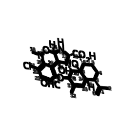 C=C(C)[C@@H]1CC[C@@H](C)[C@]2(O)C([C@H]3[C@@H](C(=O)O)N[C@@H]4ON(C)c5c(Cl)cccc5[C@@]43O)C(OC=O)C(C)=C[C@@H]12